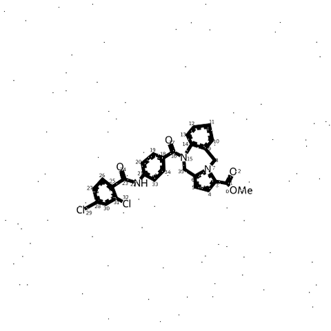 COC(=O)c1ccc2n1Cc1ccccc1N(C(=O)c1ccc(NC(=O)c3ccc(Cl)cc3Cl)cc1)C2